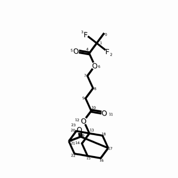 CC(F)(F)C(=O)OCCCC(=O)OC12CC3CC(C1)C(=O)C(C3)C2